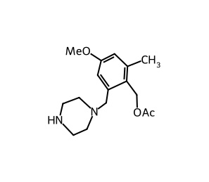 COc1cc(C)c(COC(C)=O)c(CN2CCNCC2)c1